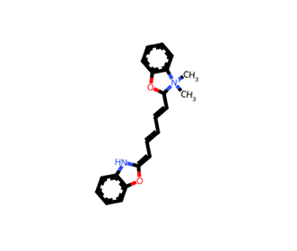 C[N+]1(C)c2ccccc2OC1C=CC=CC=C1Nc2ccccc2O1